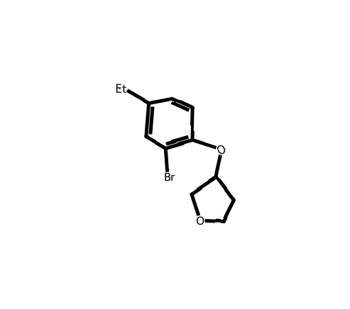 CCc1ccc(OC2CCOC2)c(Br)c1